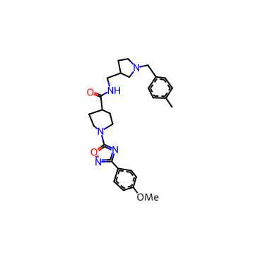 COc1ccc(-c2noc(N3CCC(C(=O)NCC4CCN(Cc5ccc(C)cc5)C4)CC3)n2)cc1